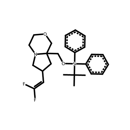 CC(C)(C)[Si](OCC12COCCN1CC(C=C(F)F)C2)(c1ccccc1)c1ccccc1